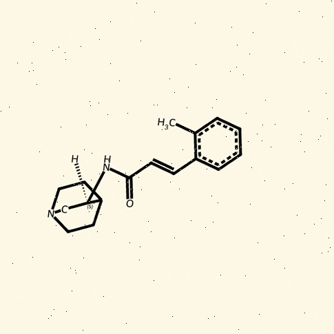 Cc1ccccc1C=CC(=O)N[C@@H]1CN2CCC1CC2